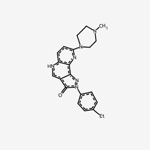 CCc1ccc(-n2nc3c4nc(N5CCN(C)CC5)ccc4[nH]cc-3c2=O)cc1